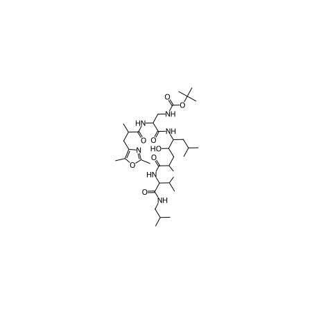 Cc1nc(CC(C)C(=O)NC(CNC(=O)OC(C)(C)C)C(=O)NC(CC(C)C)C(O)CC(C)C(=O)NC(C(=O)NCC(C)C)C(C)C)c(C)o1